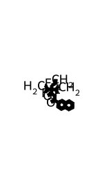 C=CC(F)C(C(=O)CC(=O)c1ccc2ccccc2c1)(C(F)C=C)C(F)C=C